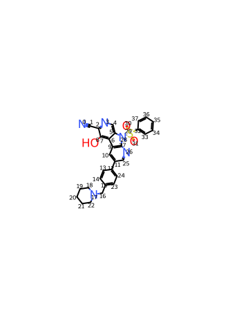 N#Cc1ncc2c(c1O)c1cc(-c3ccc(CN4CCCCC4)cc3)cnc1n2S(=O)(=O)c1ccccc1